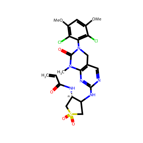 C=CC(=O)N[C@H]1CS(=O)(=O)CC1Nc1ncc2c(n1)N(C)C(=O)N(c1c(Cl)c(OC)cc(OC)c1Cl)C2